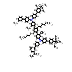 CCCCCCc1cc(-c2ccc(N(c3ccc(-c4ccc(C(C)(C)C)cc4)cc3)c3ccc(-c4cccc(C)c4)cc3)cc2C)c(CCCCCC)cc1-c1ccc(N(c2ccc(C3=CC(C(C)C)=CC4CC34)cc2)c2ccc(-c3ccc(C(C)(C)C)cc3)cc2)cc1C